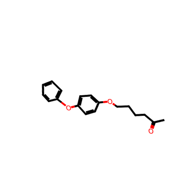 CC(=O)CCCCOc1ccc(Oc2ccccc2)cc1